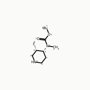 CN(C(=O)OC(C)(C)C)[C@@H]1CCNC[C@@H]1F